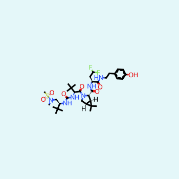 CN(C[C@@H](NC(=O)N[C@H](C(=O)N1C[C@H]2[C@@H]([C@H]1C(=O)N[C@@H](CC(F)F)C(=O)NCCc1ccc(O)cc1)C2(C)C)C(C)(C)C)C(C)(C)C)S(C)(=O)=O